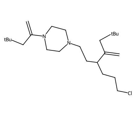 C=C(CC(C)(C)C)C(CCCCl)CCN1CCN(C(=C)CC(C)(C)C)CC1